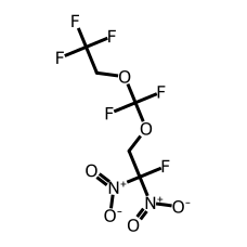 O=[N+]([O-])C(F)(COC(F)(F)OCC(F)(F)F)[N+](=O)[O-]